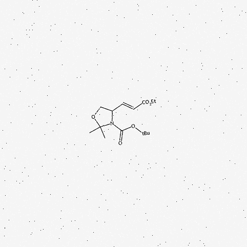 CCOC(=O)C=CC1COC(C)(C)N1C(=O)OC(C)(C)C